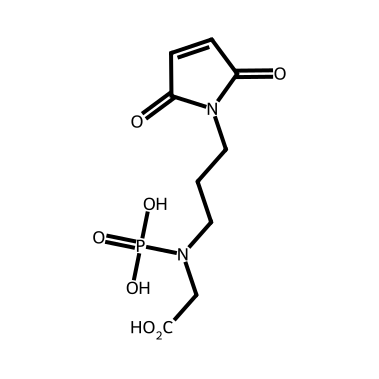 O=C(O)CN(CCCN1C(=O)C=CC1=O)P(=O)(O)O